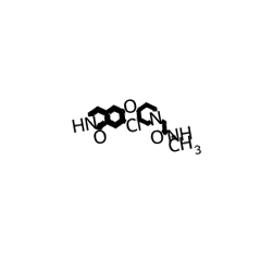 CNC(=O)CN1CCC(Oc2cc3cc[nH]c(=O)c3cc2Cl)CC1